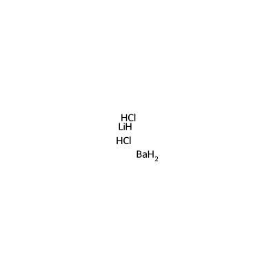 Cl.Cl.[BaH2].[LiH]